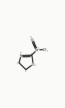 O=[N+]([O-])C1=NC[C]O1